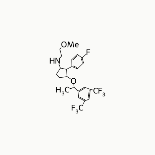 COCCNC1CCC(O[C@H](C)c2cc(C(F)(F)F)cc(C(F)(F)F)c2)C1c1ccc(F)cc1